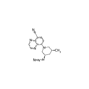 C[C@H]1C[C@@H](N=[N+]=[N-])CN(c2ccc(C#N)c3nccnc23)C1